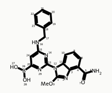 COc1nc2c(C(N)=O)cccc2n1-c1nc(NCc2ccccc2)cc(B(O)O)n1